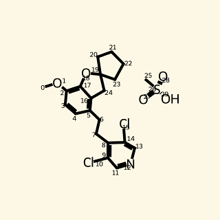 COc1ccc(CCc2c(Cl)cncc2Cl)c2c1OC1(CCCC1)C2.CS(=O)(=O)O